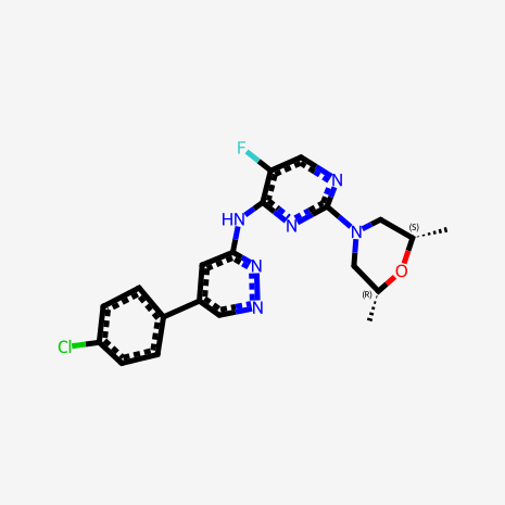 C[C@@H]1CN(c2ncc(F)c(Nc3cc(-c4ccc(Cl)cc4)cnn3)n2)C[C@H](C)O1